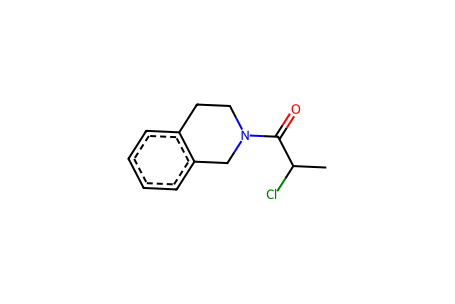 CC(Cl)C(=O)N1CCc2ccccc2C1